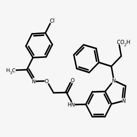 CC(=NOCC(=O)Nc1ccc2ncn(C(CC(=O)O)c3ccccc3)c2c1)c1ccc(Cl)cc1